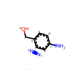 N#N.Nc1ccc(CO)cc1